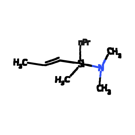 CC=C[Si](C)(CCC)N(C)C